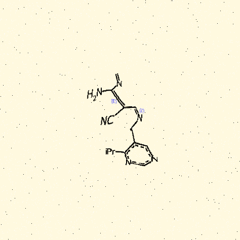 C=N/C(N)=C(C#N)\C=N/Cc1cncnc1C(C)C